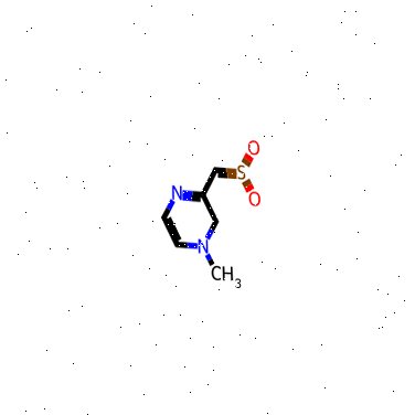 CN1C=CN=C(C=S(=O)=O)C1